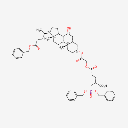 CC(CCC(=O)OCc1ccccc1)[C@H]1CCC2C3C(CC[C@@]21C)[C@@]1(C)CC[C@@H](OC(=O)COC(=O)CCC(CP(=O)(OCc2ccccc2)OCc2ccccc2)C(=O)O)CC1C[C@@H]3O